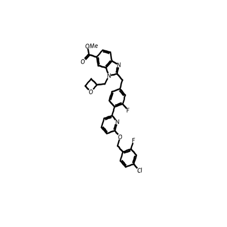 COC(=O)c1ccc2nc(Cc3ccc(-c4cccc(OCc5ccc(Cl)cc5F)n4)c(F)c3)n(CC3CCO3)c2c1